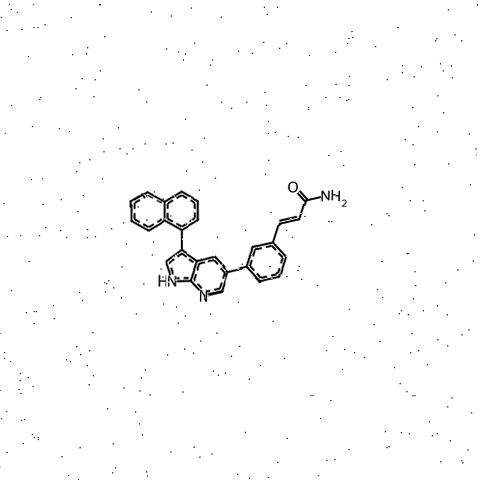 NC(=O)C=Cc1cccc(-c2cnc3[nH]cc(-c4cccc5ccccc45)c3c2)c1